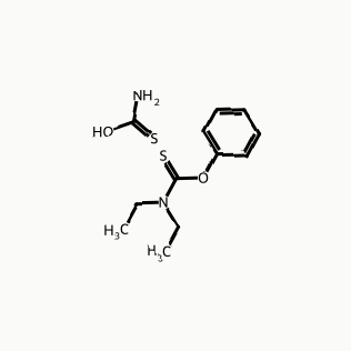 CCN(CC)C(=S)Oc1ccccc1.NC(O)=S